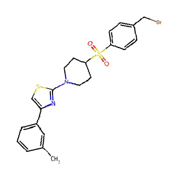 Cc1cccc(-c2csc(N3CCC(S(=O)(=O)c4ccc(CBr)cc4)CC3)n2)c1